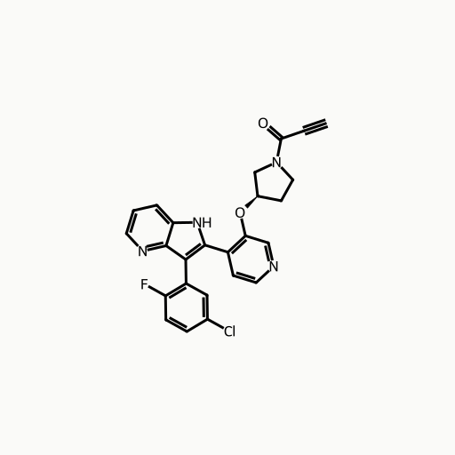 C#CC(=O)N1CC[C@@H](Oc2cnccc2-c2[nH]c3cccnc3c2-c2cc(Cl)ccc2F)C1